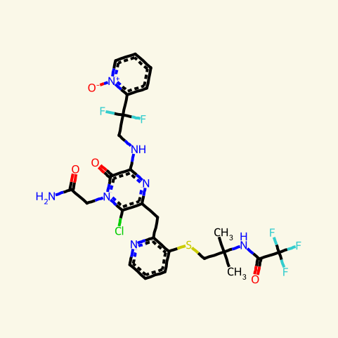 CC(C)(CSc1cccnc1Cc1nc(NCC(F)(F)c2cccc[n+]2[O-])c(=O)n(CC(N)=O)c1Cl)NC(=O)C(F)(F)F